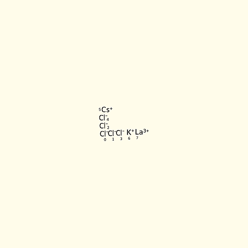 [Cl-].[Cl-].[Cl-].[Cl-].[Cl-].[Cs+].[K+].[La+3]